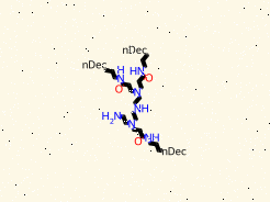 CCCCCCCCCCCCCNC(=O)CCN(CCN)CCNCCN(CCC(=O)NCCCCCCCCCCCCC)CCC(=O)NCCCCCCCCCCCCC